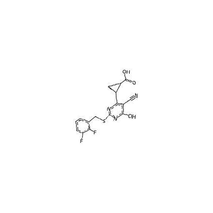 N#Cc1c(O)nc(SCc2cccc(F)c2F)nc1C1CC1C(=O)O